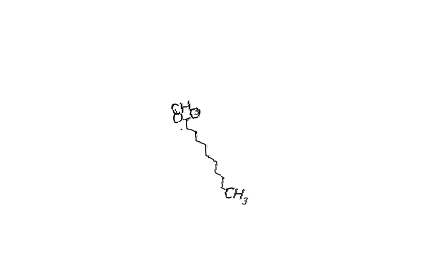 CCCCCCCCC[CH]C(=O)OC